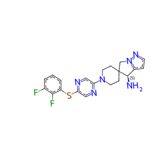 N[C@@H]1c2ccnn2CC12CCN(c1cnc(Sc3cccc(F)c3F)cn1)CC2